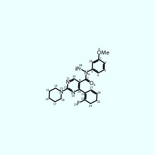 COc1cccc(N(C(=O)c2cnc(N3CCCCC3)nc2C2=C(F)CCC=C2)C(C)C)c1